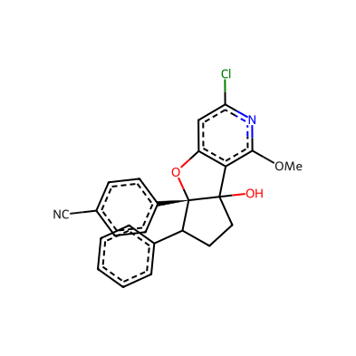 COc1nc(Cl)cc2c1C1(O)CCC(c3ccccc3)[C@]1(c1ccc(C#N)cc1)O2